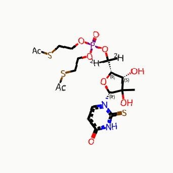 [2H]C([2H])(OP(=O)(OCCSC(C)=O)OCCSC(C)=O)[C@H]1O[C@@H](n2ccc(=O)[nH]c2=S)C(C)(O)[C@H]1O